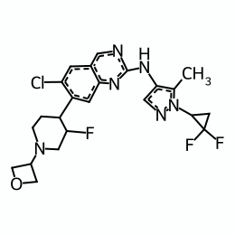 Cc1c(Nc2ncc3cc(Cl)c(C4CCN(C5COC5)CC4F)cc3n2)cnn1C1CC1(F)F